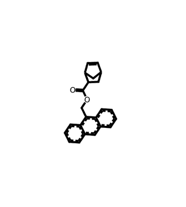 O=C(OCc1c2ccccc2cc2ccccc12)C1CC2C=CC1C2